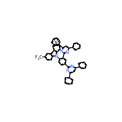 FC(F)(F)c1ccc2c(c1)c1cc(C(F)(F)F)ccc1n2-c1ccc(-c2nc(-c3ccccc3)cc(-c3ccccc3)n2)cc1-c1nc(-c2ccccc2)cc(-c2ccccc2)n1